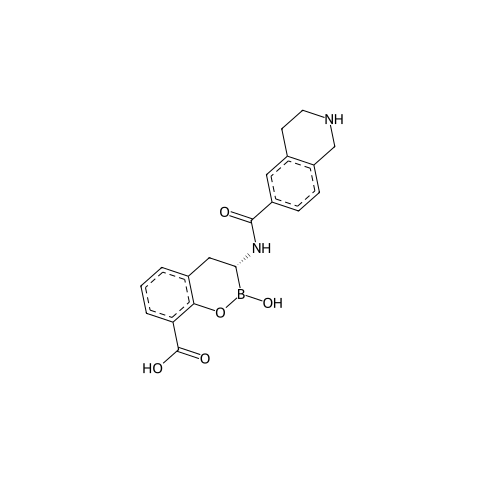 O=C(N[C@H]1Cc2cccc(C(=O)O)c2OB1O)c1ccc2c(c1)CCNC2